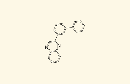 c1ccc(-c2cccc(-c3cnc4ccccc4n3)c2)cc1